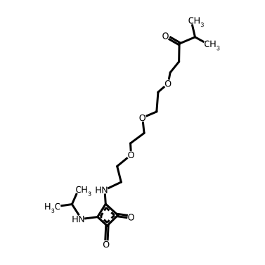 CC(C)Nc1c(NCCOCCOCCOCCC(=O)C(C)C)c(=O)c1=O